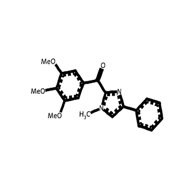 COc1cc(C(=O)c2nc(-c3ccccc3)cn2C)cc(OC)c1OC